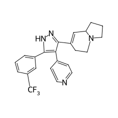 FC(F)(F)c1cccc(-c2[nH]nc(C3=CC4CCCN4CC3)c2-c2ccncc2)c1